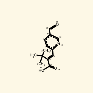 CC(C)(C)/C(=C\c1ccc(C=O)cn1)C(=O)O